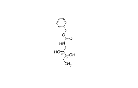 CC[C@H](O)[C@@H](O)CNC(=O)OCc1ccccc1